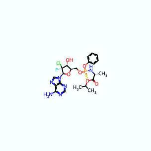 CC(C)OC(=O)[C@@H](C)N[P@@](=S)(OC[C@H]1O[C@@H](n2cnc3c(N)ncnc32)[C@@](F)(Cl)[C@@H]1O)Oc1ccccc1